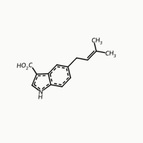 CC(C)=CCc1ccc2[nH]cc(C(=O)O)c2c1